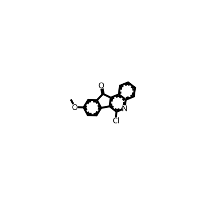 COc1ccc2c(c1)C(=O)c1c-2c(Cl)nc2ccccc12